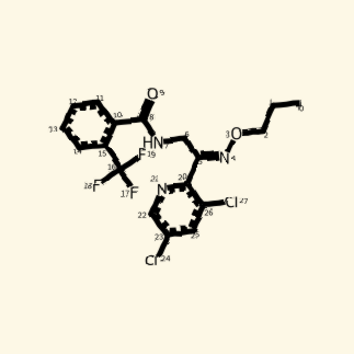 CCCO/N=C(\CNC(=O)c1ccccc1C(F)(F)F)c1ncc(Cl)cc1Cl